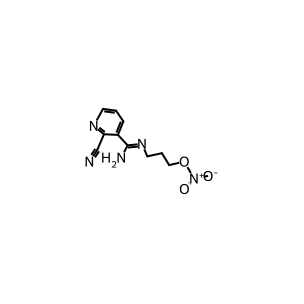 N#Cc1ncccc1C(N)=NCCCO[N+](=O)[O-]